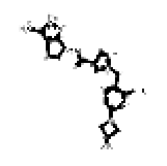 Cc1nc(N2CC(C(F)(F)F)C2)ccc1Cn1cc(C(=O)N[C@@H]2CCc3c2n[nH]c3C)cn1